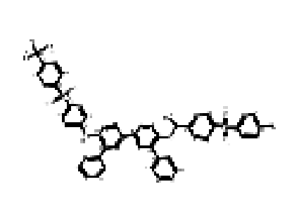 CCC(Oc1ccc(-c2ccc(Oc3ccc(S(=O)(=O)c4ccc(C(C)(CC)CC)cc4)cc3)c(-c3ccccc3)c2)cc1-c1ccccc1)c1ccc(S(=O)(=O)c2ccc(C)cc2)cc1